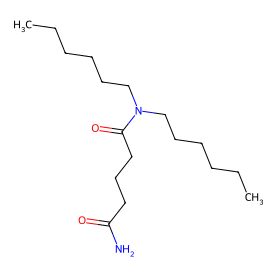 CCCCCCN(CCCCCC)C(=O)CCCC(N)=O